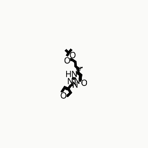 C[C@H](CCC(=O)OC(C)(C)C)c1cc(=O)n2nc(C3=CCOCC3)nc2[nH]1